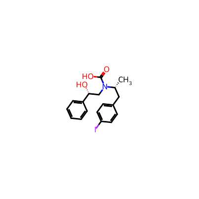 C[C@H](Cc1ccc(I)cc1)N(C[C@@H](O)c1ccccc1)C(=O)O